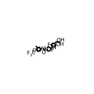 Cc1cc(NC(=O)N2CCC(F)(c3ncc(CC(C)(O)O)cc3F)CC2)ccc1OC(F)(F)F